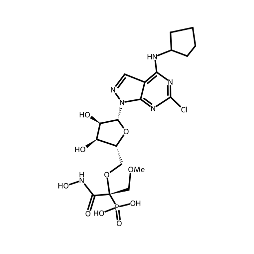 COC[C@](OC[C@H]1O[C@@H](n2ncc3c(NC4CCCC4)nc(Cl)nc32)[C@H](O)[C@@H]1O)(C(=O)NO)P(=O)(O)O